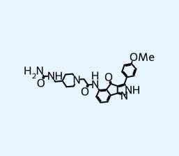 COc1ccc(-c2[nH]nc3c2C(=O)c2c(NC(=O)CN4CCC(CNC(N)=O)CC4)cccc2-3)cc1